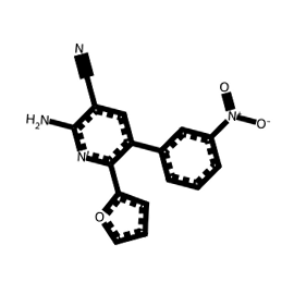 N#Cc1cc(-c2cccc([N+](=O)[O-])c2)c(-c2ccco2)nc1N